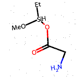 CC[SiH](OC)OC(=O)CN